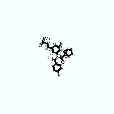 [2H]C(c1ccc(Br)cc1)N(C(=O)C1CC2CCC1C2)c1cc(F)cc(/C=C/C(=O)OC)c1